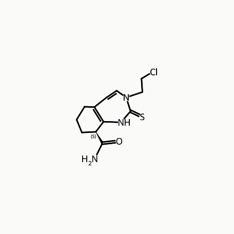 NC(=O)[C@H]1CCCC2=C1NC(=S)N(CCCl)C=C2